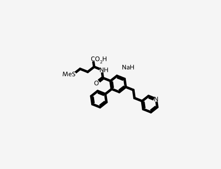 CSCCC(NC(=O)c1ccc(CCc2cccnc2)cc1-c1ccccc1)C(=O)O.[NaH]